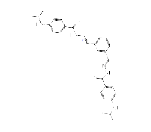 CC(C)Nc1ccc(C(=O)N/N=C/c2cccc(/C=N/NC(=O)c3ccc(NC(C)C)cc3)c2)cc1